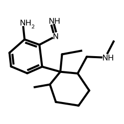 CCC1(c2cccc(N)c2N=N)C(C)CCCC1CNC